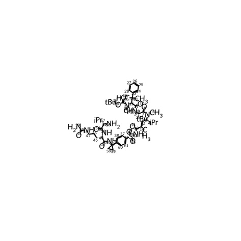 C/C(=C\[C@H](C(C)C)N(C)C(=O)[C@@H](NC(=O)[C@@H](N(C)C(=O)OC(C)(C)C)C(C)(C)c1ccccc1)C(C)(C)C)C(=O)NS(=O)(=O)c1ccc(C2(NC(=O)[C@H](CCCNC(N)=O)NC(=O)[C@@H](N)C(C)C)CC2)cc1